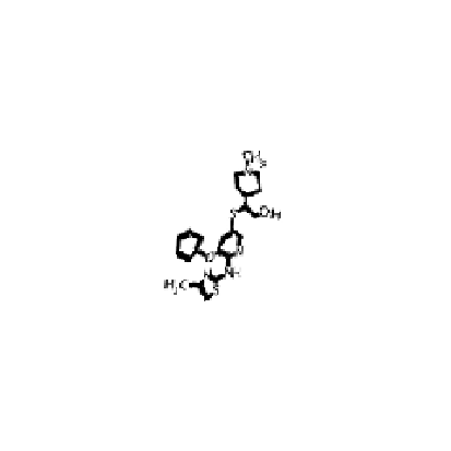 Cc1csc(Nc2ncc(SC(CO)C3CCN(C)CC3)cc2Oc2ccccc2)n1